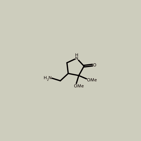 COC1(OC)C(=O)NCC1CN